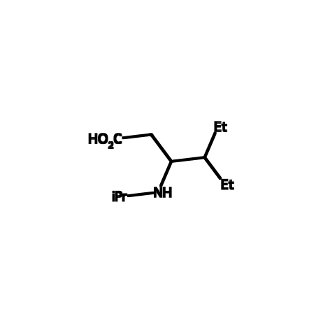 CCC(CC)C(CC(=O)O)NC(C)C